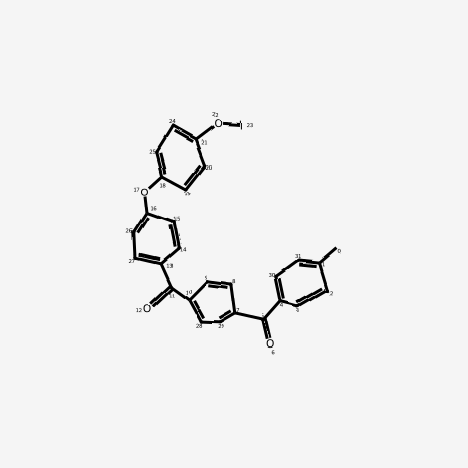 Cc1ccc(C(=O)c2ccc(C(=O)c3ccc(Oc4ccc(OI)cc4)cc3)cc2)cc1